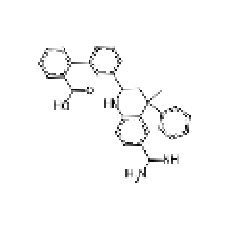 CC1(c2ccccc2)CC(c2cccc(-c3ccccc3C(=O)O)c2)Nc2ccc(C(=N)N)cc21